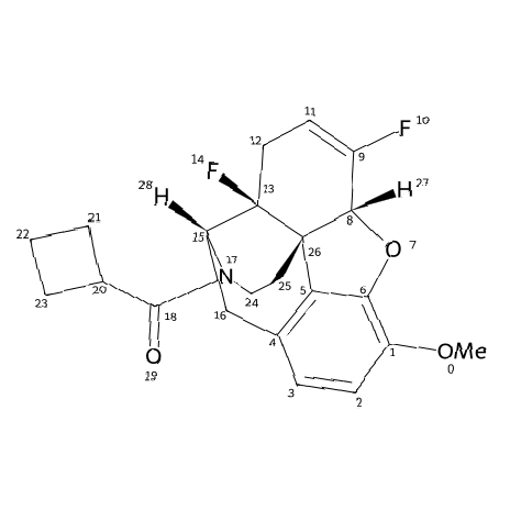 COc1ccc2c3c1O[C@H]1C(F)=CC[C@@]4(F)[C@@H](C2)N(C(=O)C2CCC2)CC[C@]314